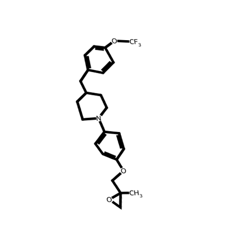 CC1(COc2ccc(N3CCC(Cc4ccc(OC(F)(F)F)cc4)CC3)cc2)CO1